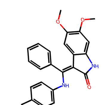 COc1cc2c(cc1OC)/C(=C(/Nc1ccc(C)cc1)c1ccccc1)C(=O)N2